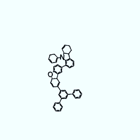 C1=CCCC(N2c3c(-c4ccc5c(c4)C4C=C(c6cc(-c7ccccc7)cc(-c7ccccc7)c6)C=CC4O5)cccc3C3CCC=CC32)=C1